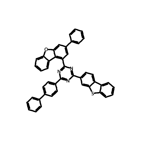 c1ccc(-c2ccc(-c3nc(-c4ccc5c(c4)sc4ccccc45)nc(-c4cc(-c5ccccc5)cc5oc6ccccc6c45)n3)cc2)cc1